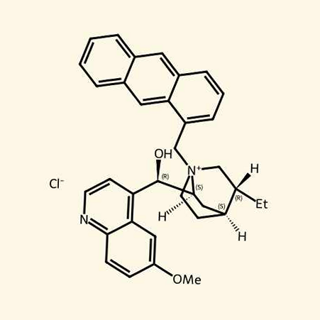 CC[C@H]1C[N+]2(Cc3cccc4cc5ccccc5cc34)CC[C@H]1C[C@H]2[C@H](O)c1ccnc2ccc(OC)cc12.[Cl-]